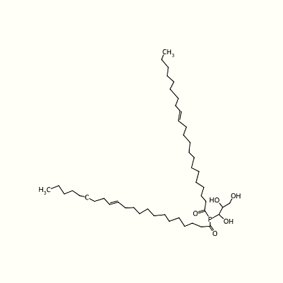 CCCCCCCCC=CCCCCCCCCCCCC(=O)P(C(=O)CCCCCCCCCCCC=CCCCCCCCC)C(O)C(O)CO